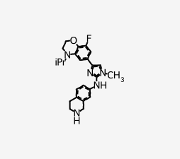 CC(C)N1CCOc2c(F)cc(-c3cn(C)c(Nc4ccc5c(c4)CNCC5)n3)cc21